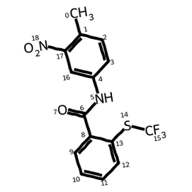 Cc1ccc(NC(=O)c2ccccc2SC(F)(F)F)cc1[N+](=O)[O-]